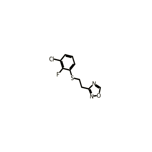 Fc1c(Cl)cccc1SCCc1ncon1